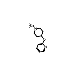 [Sn][N]1CCC(Oc2ccccn2)CC1